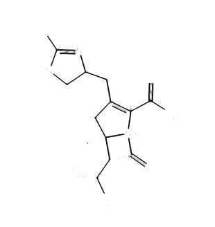 CC1=NC(CC2=C(C(=O)O)N3C(=O)[C@H]([C@@H](C)O)[C@H]3C2)CN1